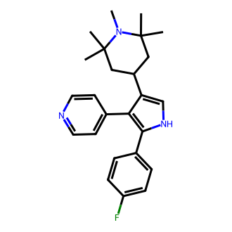 CN1C(C)(C)CC(c2c[nH]c(-c3ccc(F)cc3)c2-c2ccncc2)CC1(C)C